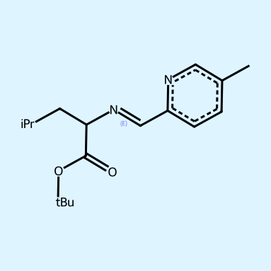 Cc1ccc(/C=N/C(CC(C)C)C(=O)OC(C)(C)C)nc1